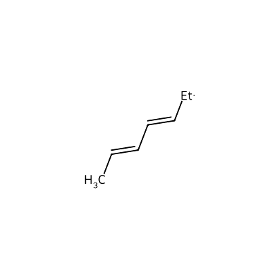 C[CH]/C=C/C=C/C